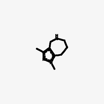 Cc1nn(C)c2c1CNCCC2